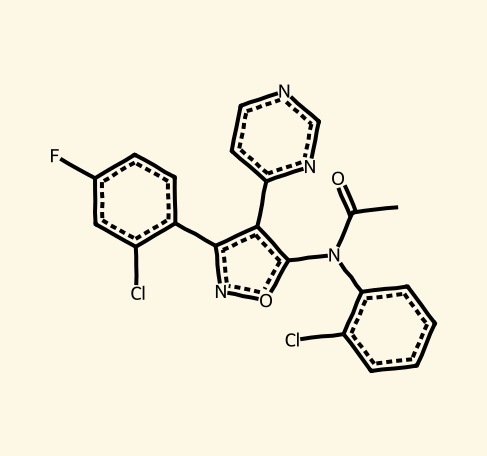 CC(=O)N(c1ccccc1Cl)c1onc(-c2ccc(F)cc2Cl)c1-c1ccncn1